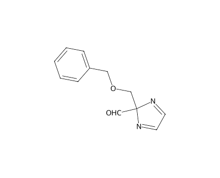 O=CC1(COCc2ccccc2)N=CC=N1